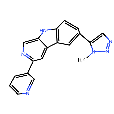 Cn1nncc1-c1ccc2[nH]c3cnc(-c4cccnc4)cc3c2c1